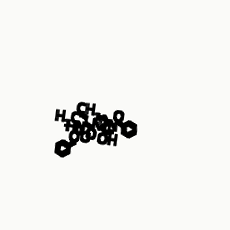 CC(C)C[C@H](NC(=O)OCc1ccccc1)C(=O)N1CCC2C1[C@@H](O)CN2C(=O)c1ccccc1